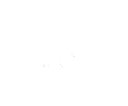 Oc1csc(Cc2nc(-c3ccccc3F)cs2)n1